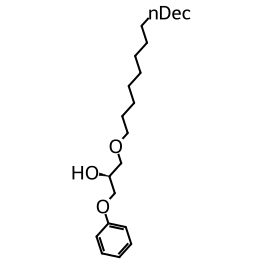 CCCCCCCCCCCCCCCCCCOC[C@H](O)COc1ccccc1